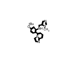 Cn1cncc1CNc1cc(OC(C)(C)C)ccc1-c1cccc2nccn12